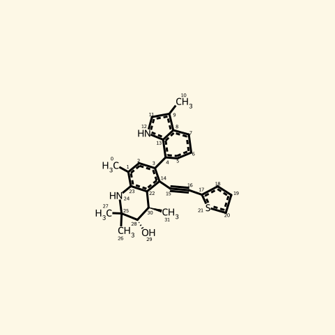 Cc1cc(-c2cccc3c(C)c[nH]c23)c(C#Cc2cccs2)c2c1NC(C)(C)[C@@H](O)[C@@H]2C